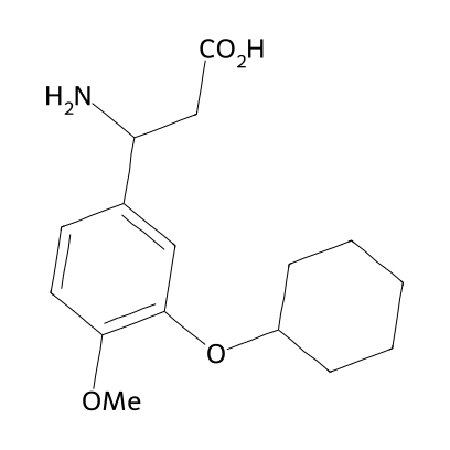 COc1ccc(C(N)CC(=O)O)cc1OC1CCCCC1